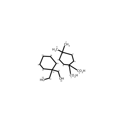 CC1(C)CCC(C(=O)O)(C(=O)O)CC1.OCC1(CO)CCCCC1